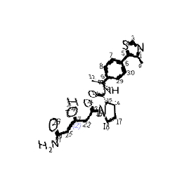 Cc1ncsc1-c1ccc([C@H](C)NC(=O)[C@@H]2CCCN2C(=O)C/C(O)=C/C(N)=O)cc1